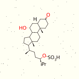 CC(C)[C@@H](CC[C@@H](C)C1CCC2C3C(CC[C@@]21C)[C@@]1(C)CCC(=O)C[C@@H]1C[C@H]3O)OS(=O)(=O)O